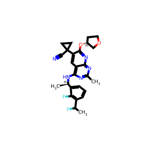 Cc1nc(N[C@H](C)c2cccc(C(C)F)c2F)c2cc(C3(C#N)CC3)c(O[C@@H]3CCOC3)nc2n1